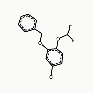 FC(F)Oc1ccc(Cl)cc1OCc1ccccc1